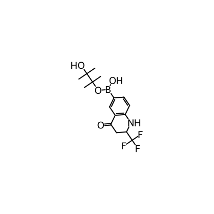 CC(C)(O)C(C)(C)OB(O)c1ccc2c(c1)C(=O)CC(C(F)(F)F)N2